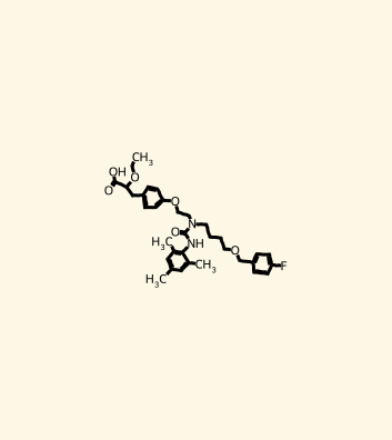 CCOC(Cc1ccc(OCCN(CCCCOCc2ccc(F)cc2)C(=O)Nc2c(C)cc(C)cc2C)cc1)C(=O)O